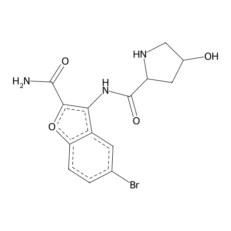 NC(=O)c1oc2ccc(Br)cc2c1NC(=O)C1CC(O)CN1